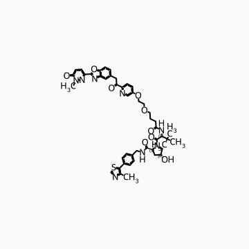 Cc1ncsc1-c1ccc(CNC(=O)[C@@H]2C[C@@H](O)CN2C(=O)[C@@H](NC(=O)CCCOCCOc2ccc(C(=O)Cc3ccc4oc(-c5ccc(=O)n(C)n5)nc4c3)nc2)C(C)(C)C)cc1